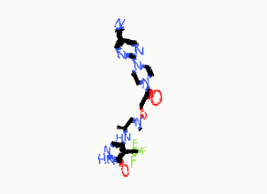 C[C@@H](CN(C)OCC(=O)N1CCN(c2ncc(C#N)cn2)CC1)Nc1cn[nH]c(=O)c1C(F)(F)F